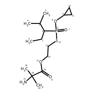 CCC(C(C)C)P(=O)(OC1CC1)SCCOC(=O)C(C)(C)N